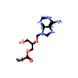 COC(=O)OCC(CO)OCn1cnc2c(N)ncnc21